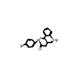 O=C1CC2C[S+]([O-])c3ccccc3C2=NN1c1ccc(Br)cc1